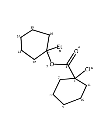 CCC1(OC(=O)C2(Cl)CCCCC2)CCCCC1